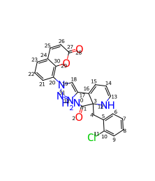 NC(=O)C1(Cc2ccccc2Cl)NC=CC=C1c1cn(-c2cccc3ccc(=O)oc23)nn1